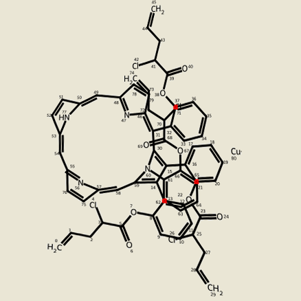 C=CCC(Cl)C(=O)Oc1ccccc1-c1c(-c2ccccc2OC(=O)C(Cl)CC=C)c2c(-c3ccccc3OC(=O)C(Cl)CC=C)c3nc(cc4ccc(cc5nc(cc1n2-c1ccccc1OC(=O)C(Cl)CC=C)C=C5)[nH]4)C=C3.[Cu]